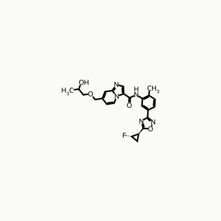 Cc1ccc(-c2noc([C@H]3C[C@@H]3F)n2)cc1NC(=O)c1cnc2cc(COCC(C)O)ccn12